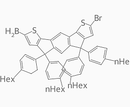 Bc1cc2c(s1)-c1cc3c(cc1C2(C1=CC=C(CCCCCC)CC1)c1ccc(CCCCCC)cc1)C(c1ccc(CCCCCC)cc1)(c1ccc(CCCCCC)cc1)c1cc(Br)sc1-3